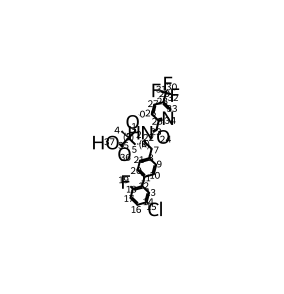 COC[C@](C)(C[C@@H](Cc1ccc(-c2cc(Cl)ccc2F)cc1)NC(=O)c1ccc(C(F)(F)F)cn1)C(=O)O